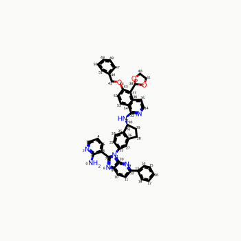 Nc1ncccc1-c1nc2ccc(-c3ccccc3)nc2n1-c1ccc2c(c1)CC[C@@H]2Nc1nccc2c(C3OCCO3)c(OCc3ccccc3)ccc12